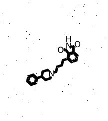 O=C1NC(=O)c2c(CCCCN3CCC(c4ccccc4)CC3)cccc21